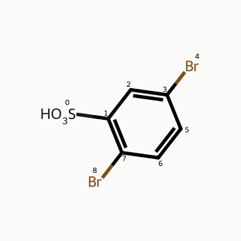 O=S(=O)(O)c1cc(Br)ccc1Br